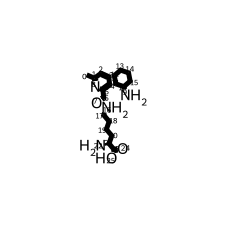 Cc1cccc(C=O)n1.NC1CCCCC1.NCCCC[C@H](N)C(=O)O